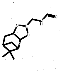 CC1(C)C2CC3OB(CNC=O)OC3C1C2